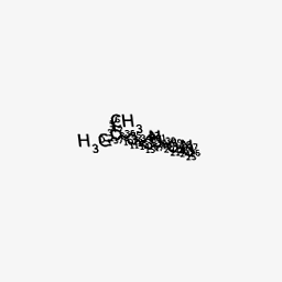 CCc1cc(CC)cc(-c2ccc(-c3ccc4cc(-c5ccc(-c6ccccn6)cc5)cnc4c3)cc2)c1